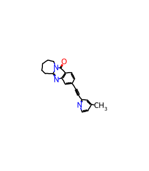 Cc1ccnc(C#Cc2ccc3c(=O)n4c(nc3c2)CCCCC4)c1